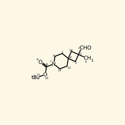 CC1(C=O)CC2(CCN(C(=O)OC(C)(C)C)CC2)C1